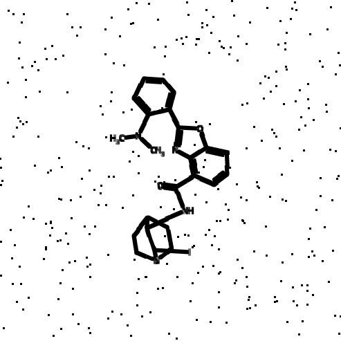 CN(C)c1ccccc1-c1nc2c(C(=O)NC3C4CCN(CC4)C3I)cccc2o1